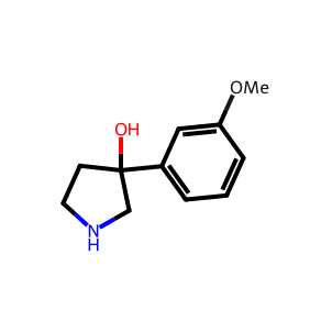 COc1cccc(C2(O)CCNC2)c1